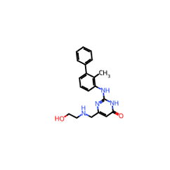 Cc1c(Nc2nc(CNCCO)cc(=O)[nH]2)cccc1-c1ccccc1